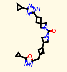 O=C(N1CC(C23CC(Cc4nnc(C5CC5)o4)(C2)C3)C1)N1CC2(CC(c3nc(C4CC4)n[nH]3)C2)C1